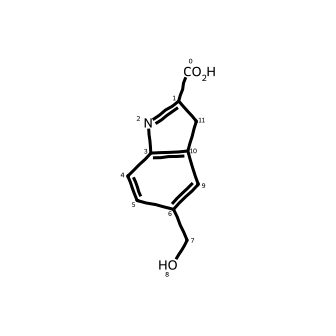 O=C(O)C1=Nc2ccc(CO)cc2C1